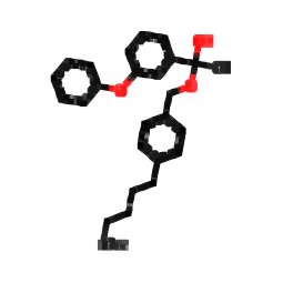 CCCCCCCCCCCCCCc1ccc(COC(O)(C#N)c2cccc(Oc3ccccc3)c2)cc1